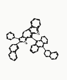 c1ccc(-c2c(-c3ccc4ccccc4c3)sc3c(-c4c5ccccc5c(-c5ccc6ccccc6c5)c5ccccc45)c4sc5ccccc5c4cc23)cc1